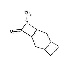 CN1C(=O)C2CC3CCC3CC21